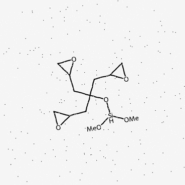 CO[SiH](OC)OC(CC1CO1)(CC1CO1)CC1CO1